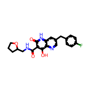 O=C(NCC1CCCO1)c1c(O)c2ncc(Cc3ccc(F)cc3)cc2[nH]c1=O